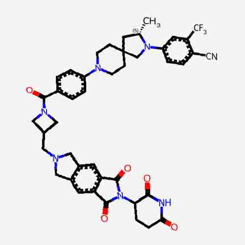 C[C@H]1CC2(CCN(c3ccc(C(=O)N4CC(CN5Cc6cc7c(cc6C5)C(=O)N(C5CCC(=O)NC5=O)C7=O)C4)cc3)CC2)CN1c1ccc(C#N)c(C(F)(F)F)c1